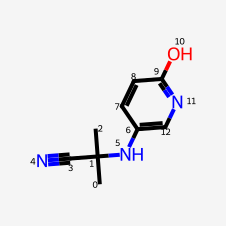 CC(C)(C#N)Nc1ccc(O)nc1